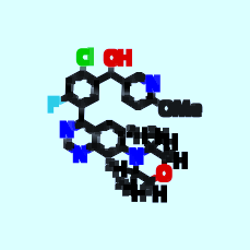 [2H]C1([2H])OC([2H])([2H])C([2H])([2H])N(c2ccc3c(-c4cc(C(O)c5ccc(OC)nc5)c(Cl)cc4F)ncnc3c2)C1([2H])[2H]